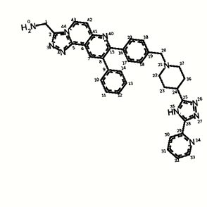 NCc1nnc2c3cc(-c4ccccc4)c(-c4ccc(CN5CCC(c6nnc(-c7ccccn7)[nH]6)CC5)cc4)nc3ccn12